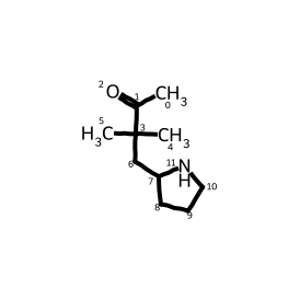 CC(=O)C(C)(C)CC1CCCN1